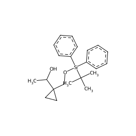 CC(O)C1(CO[Si](c2ccccc2)(c2ccccc2)C(C)(C)C)CC1